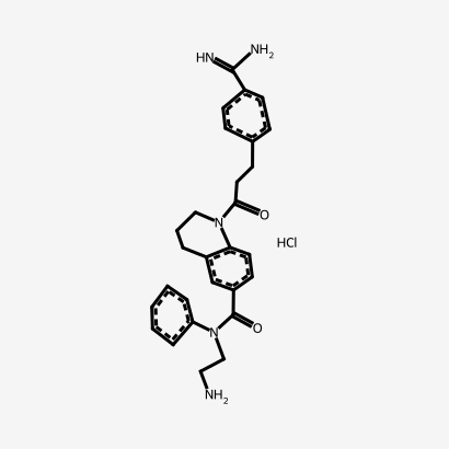 Cl.N=C(N)c1ccc(CCC(=O)N2CCCc3cc(C(=O)N(CCN)c4ccccc4)ccc32)cc1